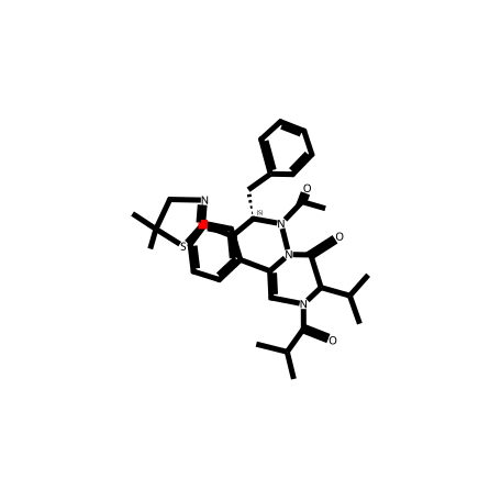 CC(=O)N([C@@H](Cc1ccccc1)C(=O)C1=NCC(C)(C)S1)N1C(=O)C(C(C)C)N(C(=O)C(C)C)C=C1c1ccccc1